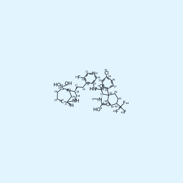 CN(C(=O)O)[C@H](C(=O)Nc1cncc(F)c1CC[C@H]1CN[C@@H]2CCCS(O)(O)N1C2)C1(c2ccc(Cl)cc2)CCC(C(F)(F)F)CC1